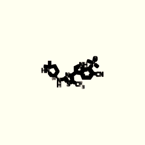 CC1(C)CC[C@H](Nc2nc(-c3c[nH]c4c(P(C)(C)=O)c(C#N)ccc34)c(C(F)(F)F)s2)CN1